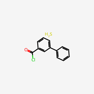 O=C(Cl)c1cccc(-c2ccccc2)c1.S